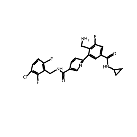 NCc1c(F)cc(C(=O)NC2CC2)cc1-c1ccc(C(=O)NCc2c(F)ccc(Cl)c2F)cn1